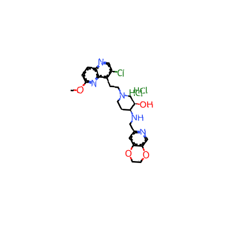 COc1ccc2ncc(Cl)c(CCN3CC[C@H](NCc4cc5c(cn4)OCCO5)[C@H](O)C3)c2n1.Cl.Cl